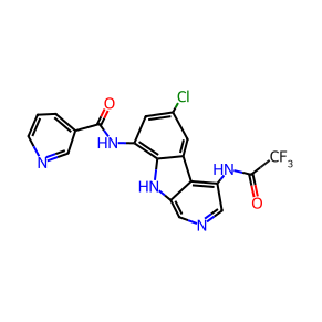 O=C(Nc1cc(Cl)cc2c1[nH]c1cncc(NC(=O)C(F)(F)F)c12)c1cccnc1